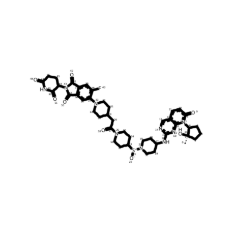 C[C@@]1(O)CCCC1n1c(=O)ccc2cnc(NC3CCN([S+]([O-])C4CCN(C(=O)CC5CCN(c6cc7c(cc6F)C(=O)N(C6CCC(=O)NC6=O)C7=O)CC5)CC4)CC3)nc21